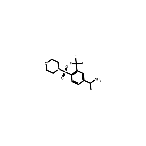 CC(N)c1ccc(S(=O)(=O)N2CCOCC2)c(C(F)(F)F)c1